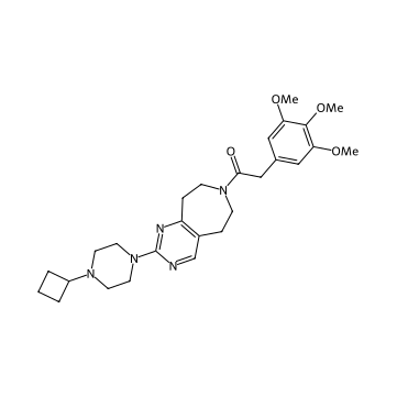 COc1cc(CC(=O)N2CCc3cnc(N4CCN(C5CCC5)CC4)nc3CC2)cc(OC)c1OC